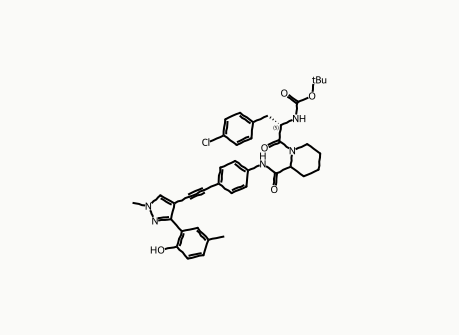 Cc1ccc(O)c(-c2nn(C)cc2C#Cc2ccc(NC(=O)C3CCCCN3C(=O)[C@H](Cc3ccc(Cl)cc3)NC(=O)OC(C)(C)C)cc2)c1